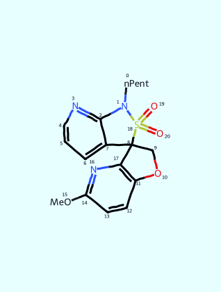 CCCCCN1c2ncccc2C2(COc3ccc(OC)nc32)S1(=O)=O